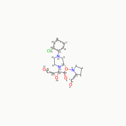 O=C=C1CCCN1OC(=O)C1(N2CCN(c3ccccc3Cl)CC2)OC1=C=O